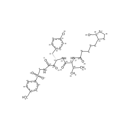 Cc1ccc(S(=O)(=O)CNC(=O)C(=O)[C@H](Cc2ccc(Cl)cc2)NC(=O)C(NC(=O)CCCCC2CCS[S+]2[O-])C(C)C)cc1